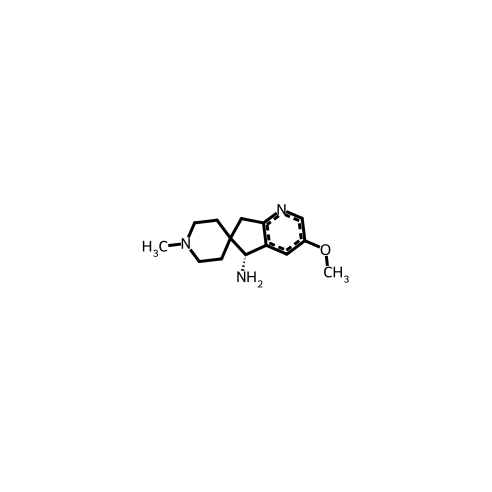 COc1cnc2c(c1)[C@H](N)C1(CCN(C)CC1)C2